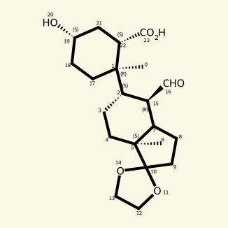 C[C@]1([C@H]2CC[C@@]3(C)C(CCC34OCCO4)[C@@H]2C=O)CC[C@H](O)C[C@@H]1C(=O)O